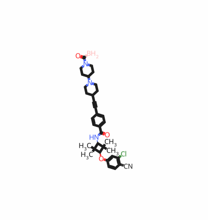 BC(=O)N1CCC(N2CCC(C#Cc3ccc(C(=O)N[C@H]4C(C)(C)[C@H](Oc5ccc(C#N)c(Cl)c5)C4(C)C)cc3)CC2)CC1